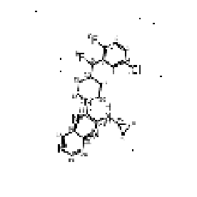 Fc1ccc(Cl)cc1C(F)C1CCN(c2nc3cnccc3nc2NC2CC2)CC1